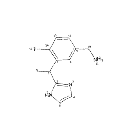 CC(c1ncc[nH]1)c1cc(CN)ccc1F